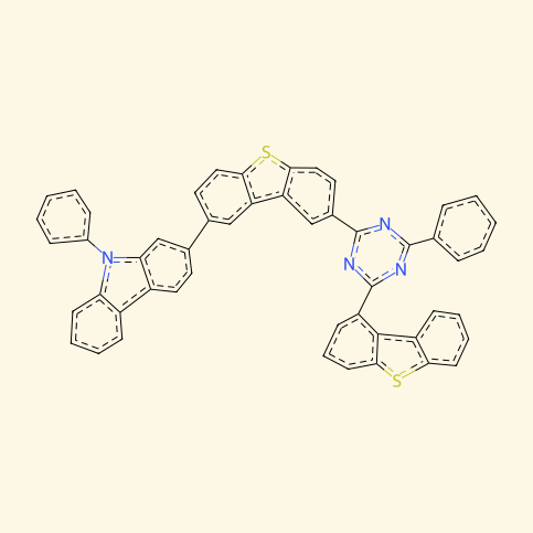 c1ccc(-c2nc(-c3ccc4sc5ccc(-c6ccc7c8ccccc8n(-c8ccccc8)c7c6)cc5c4c3)nc(-c3cccc4sc5ccccc5c34)n2)cc1